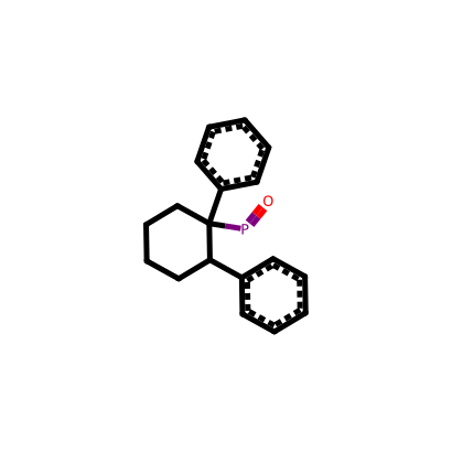 O=PC1(c2ccccc2)CCCCC1c1ccccc1